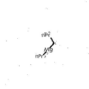 CCC[CH2][Mg][CH2]CC